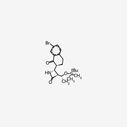 C[C@@H](O[Si](C)(C)C(C)(C)C)[C@H]1C(=O)N[C@@H]1[C@@H]1CCc2ccc(Br)cc2C1=O